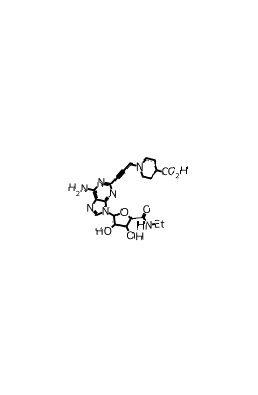 CCNC(=O)C1OC(n2cnc3c(N)nc(C#CCN4CCC(C(=O)O)CC4)nc32)C(O)C1O